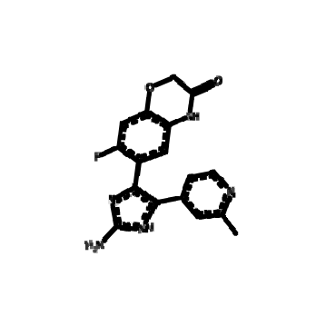 Cc1cc(-c2[nH]c(N)nc2-c2cc3c(cc2F)OCC(=O)N3)ccn1